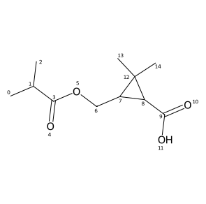 CC(C)C(=O)OCC1C(C(=O)O)C1(C)C